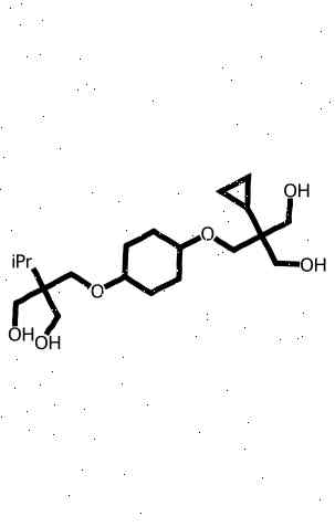 CC(C)C(CO)(CO)COC1CCC(OCC(CO)(CO)C2CC2)CC1